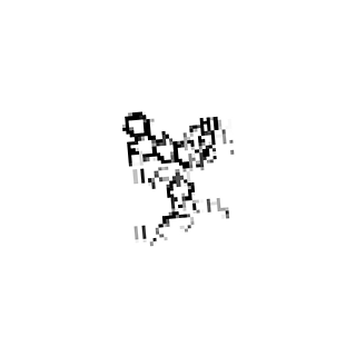 C=CC(=O)N1C[C@H](C)N(C2=N[P@@](C)(=O)N(CC(C)(C)C)c3nc(-c4ccccc4F)c(Cl)cc32)C[C@H]1C